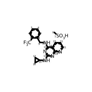 CS(=O)(=O)O.FC(F)(F)c1ccccc1CNc1nc(NC2CC2)nc2ncccc12